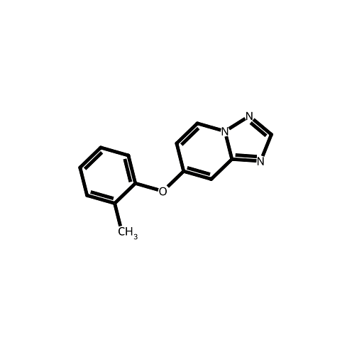 Cc1ccccc1Oc1ccn2ncnc2c1